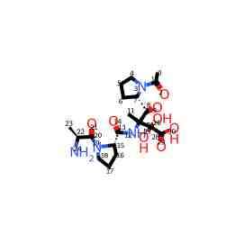 CC(=O)N1CCC[C@H]1C(=O)C(C)(NC(=O)[C@@H]1CCCN1C(=O)[C@H](C)N)C(O)(O)C(=O)O